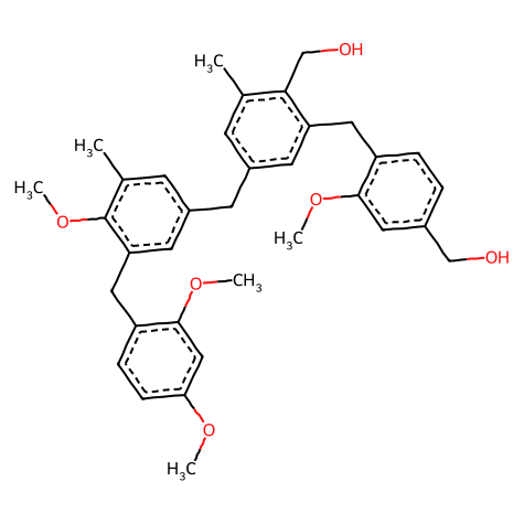 COc1ccc(Cc2cc(Cc3cc(C)c(CO)c(Cc4ccc(CO)cc4OC)c3)cc(C)c2OC)c(OC)c1